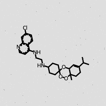 CC(C)C1=CC2OC3(CCC(NCCNc4ccnc5cc(Cl)ccc45)CC3)OOC2(C)CC1